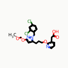 COCOc1cc(CCCOc2ncccc2CC(=O)O)n(Cc2ccc(Cl)cc2Cl)n1